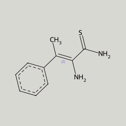 C/C(=C(/N)C(N)=S)c1ccccc1